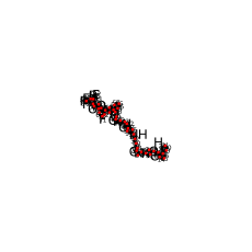 CN(CCN1CCC(OC(=O)Nc2ccccc2-c2ccccc2)CC1)C(=O)CCCCCCNc1ccc(C(=O)N(C)CCCN(C)C(=O)CO[C@H]2Cc3ccccc3C23CCN(CC[C@@]2(c4ccc(F)cc4)CN(C(=O)c4cc(C(F)(F)F)cc(C(F)(F)F)c4)CO2)CC3)cc1